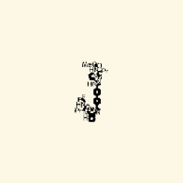 COC(=O)N[C@H](C(=O)N1CCC[C@H]1c1ncc(-c2ccc(-c3ccc(-c4cnc(C5C6CCC(C6)C5C(=O)N[C@@H](C(=O)NCC(F)F)C(C)C)[nH]4)cc3)cc2)[nH]1)C(C)C